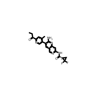 CCC(=O)c1cc(C)c(-c2cc3cnc(NC(=O)[C@H]4CC4(F)F)cc3nc2N)cn1